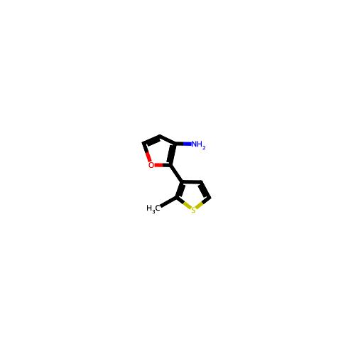 Cc1sccc1-c1occc1N